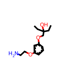 CCC(O)(CC)COc1cccc(OCCN)c1